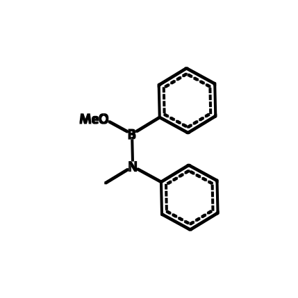 COB(c1ccccc1)N(C)c1ccccc1